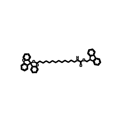 O=C(CCCCCCCCCCCCNC(=O)OCC1c2ccccc2-c2ccccc21)OC(c1ccccc1)(c1ccccc1)c1ccccc1Cl